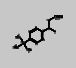 CCC[CH2][Sn]([CH2]CCC)([CH2]CCC)[c]1ccc(C(C)CC(=O)OCC)cc1